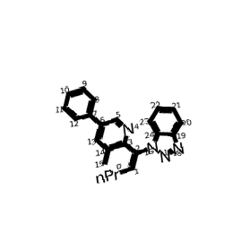 CCC/C=C(\c1ncc(-c2ccccc2)cc1C)n1nnc2ccccc21